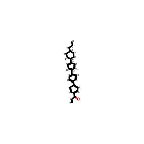 C=CC(=O)c1ccc(-c2ccc(-c3ccc(C4CCC(CCC)CC4)cc3)cc2)cc1